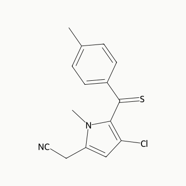 Cc1ccc(C(=S)c2c(Cl)cc(CC#N)n2C)cc1